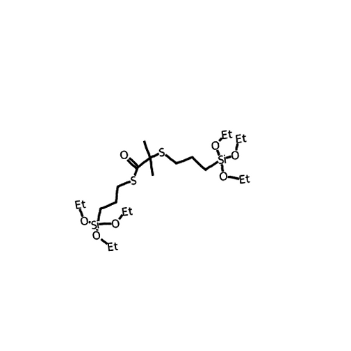 CCO[Si](CCCSC(=O)C(C)(C)SCCC[Si](OCC)(OCC)OCC)(OCC)OCC